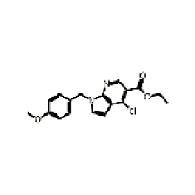 CCOC(=O)c1cnc2c(ccn2Cc2ccc(OC)cc2)c1Cl